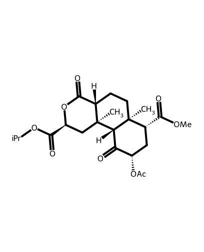 COC(=O)[C@@H]1C[C@H](OC(C)=O)C(=O)[C@H]2[C@@]1(C)CC[C@H]1C(=O)O[C@H](C(=O)OC(C)C)C[C@]21C